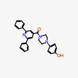 O=C(c1cc(-c2ccccc2)nc(-c2ccccc2)c1)N1CCN(c2ccc(O)cc2)CC1